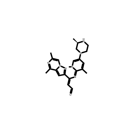 Cc1cn2nc(C(=C/C=O)/N=c3/c(C)cc(N4CCN[C@H](C)C4)cn3C)cc2c(C)n1